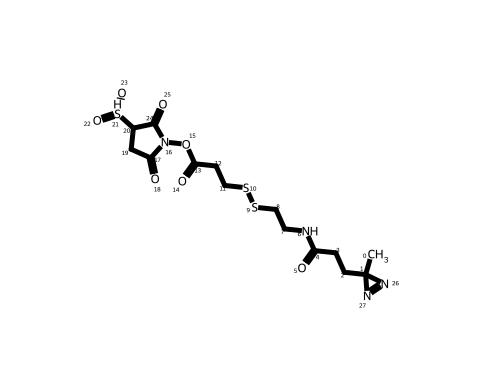 CC1(CCC(=O)NCCSSCCC(=O)ON2C(=O)CC([SH](=O)=O)C2=O)N=N1